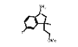 COCCC1(C)CN(N)c2ccc(F)cc21